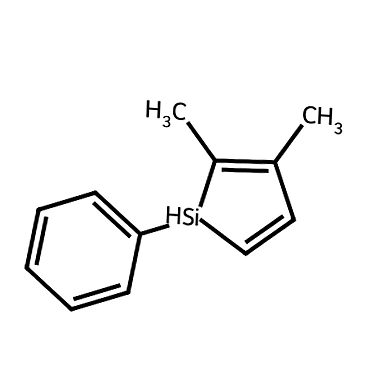 CC1=C(C)[SiH](c2ccccc2)C=C1